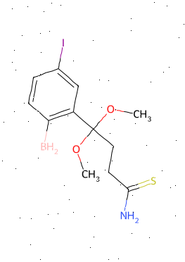 Bc1ccc(I)cc1C(CCC(N)=S)(OC)OC